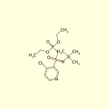 CCOP(=O)(CS(=O)(=N[Si](C)(C)C)c1cnccc1Cl)OCC